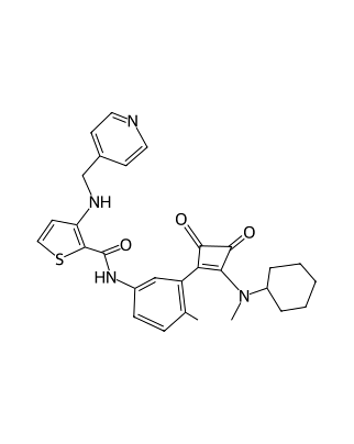 Cc1ccc(NC(=O)c2sccc2NCc2ccncc2)cc1-c1c(N(C)C2CCCCC2)c(=O)c1=O